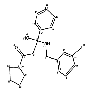 O=C(CC(O)(NCc1cccc(I)c1)c1ccncc1)N1CCCC1